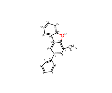 Cc1cc(-c2ccccc2)cc2c1oc1ccccc12